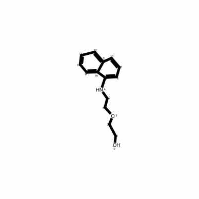 OCCOCCNc1cccc2ccccc12